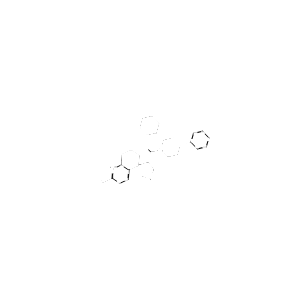 O=C([C@@H]1CNC[C@]12CCCc1nc(Cl)ccc12)N1CC[C@H](c2ccccc2)C[C@@H]1C1CCCCC1